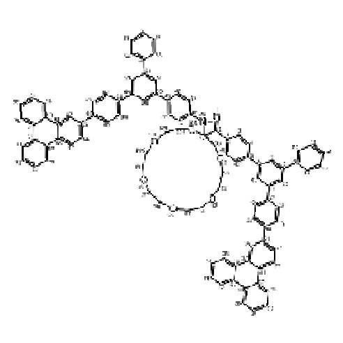 O=C(c1ccc(-c2cc(-c3ccccc3)cc(-c3ccc(-c4ccc5c6ccccc6c6ccccc6c5c4)cc3)c2)cc1)C1(Nc2ccc(-c3cc(-c4ccccc4)cc(-c4ccc(-c5ccc6c7ccccc7c7ccccc7c6c5)cc4)c3)cc2)COCCOCCOCCOCCOCCO1